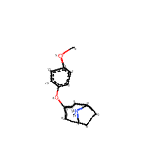 COc1ccc(OC2CC3CCC(C2)N3C)cc1